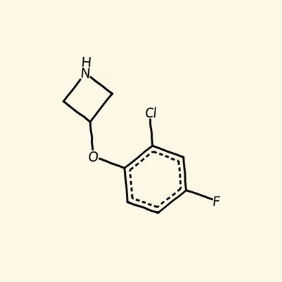 Fc1ccc(OC2CNC2)c(Cl)c1